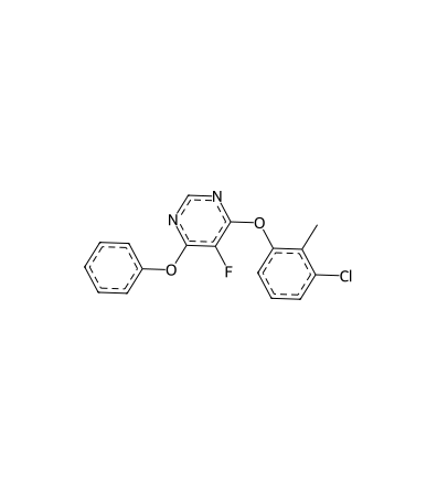 Cc1c(Cl)cccc1Oc1ncnc(Oc2ccccc2)c1F